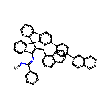 C=N/C(=N\C1=C(Cc2cccc3ccccc23)C2(c3ccccc31)c1ccccc1-c1ccc(-c3ccc(-c4ccc5ccccc5c4)cc3)cc12)c1ccccc1